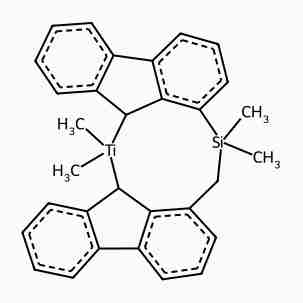 C[Si]1(C)Cc2cccc3c2[CH](c2ccccc2-3)[Ti]([CH3])([CH3])[CH]2c3ccccc3-c3cccc1c32